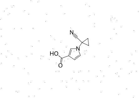 N#CC1(n2ccc(C(=O)O)c2)CC1